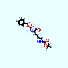 CC(C)(C)OC(=O)NCCCC[C@@H](C=O)NC(=O)OCc1ccccc1